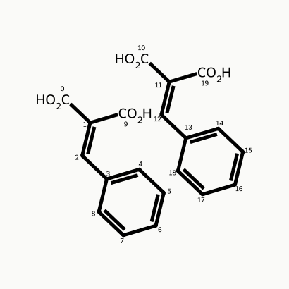 O=C(O)C(=Cc1ccccc1)C(=O)O.O=C(O)C(=Cc1ccccc1)C(=O)O